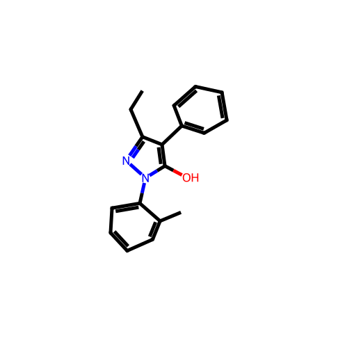 CCc1nn(-c2ccccc2C)c(O)c1-c1ccccc1